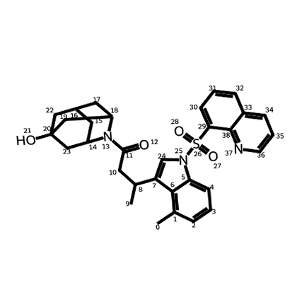 Cc1cccc2c1c(C(C)CC(=O)N1C3CC4CC1CC(O)(C4)C3)cn2S(=O)(=O)c1cccc2cccnc12